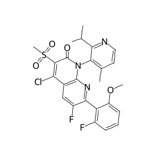 COc1cccc(F)c1-c1nc2c(cc1F)c(Cl)c(S(C)(=O)=O)c(=O)n2-c1c(C)ccnc1C(C)C